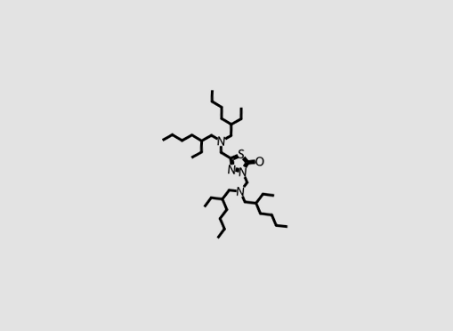 CCCCC(CC)CN(Cc1nn(CN(CC(CC)CCCC)CC(CC)CCCC)c(=O)s1)CC(CC)CCCC